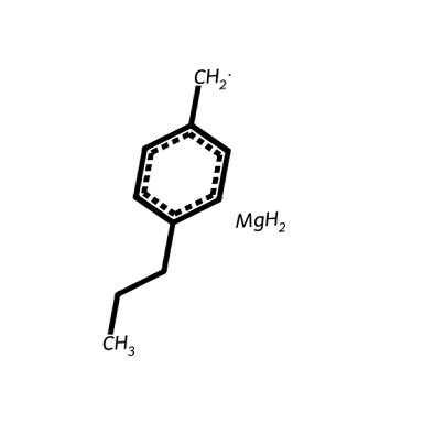 [CH2]c1ccc(CCC)cc1.[MgH2]